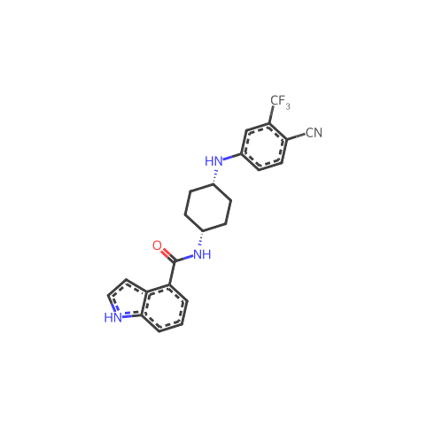 N#Cc1ccc(N[C@H]2CC[C@@H](NC(=O)c3cccc4[nH]ccc34)CC2)cc1C(F)(F)F